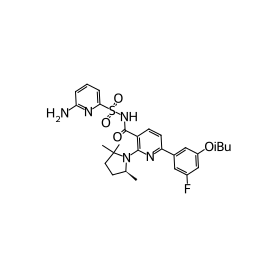 CC(C)COc1cc(F)cc(-c2ccc(C(=O)NS(=O)(=O)c3cccc(N)n3)c(N3[C@@H](C)CCC3(C)C)n2)c1